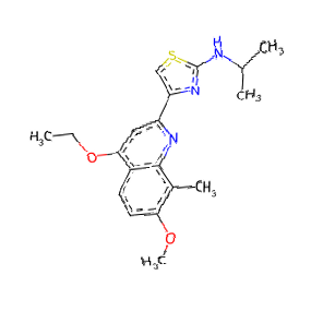 CCOc1cc(-c2csc(NC(C)C)n2)nc2c(C)c(OC)ccc12